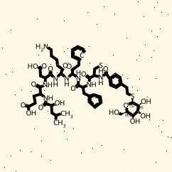 CC(C)CC(O)C(=O)NC(CCC(=O)O)C(=O)NC(CC(=O)O)C(=O)NC(NC(NC(=O)C(Cc1ccccc1)NC(=O)C(CS)NC(=O)c1ccc(CCS[C@@H]2O[C@H](CO)[C@H](O)[C@H](O)[C@H]2O)cc1)C(=O)Cc1ccccc1)C(=O)CCCCN